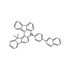 CC1(C)c2ccccc2-c2ccc3c(c21)C1(C)c2ccccc2-c2cccc(c21)N3c1ccc(-c2ccc3ccccc3c2)cc1